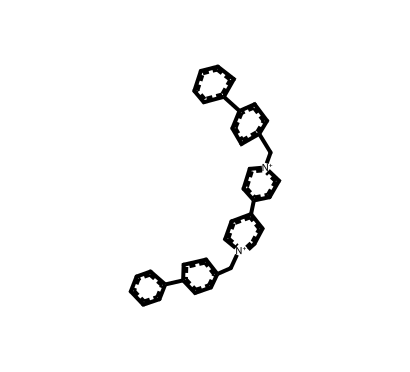 c1ccc(-c2ccc(C[n+]3ccc(-c4cc[n+](Cc5ccc(-c6ccccc6)cc5)cc4)cc3)cc2)cc1